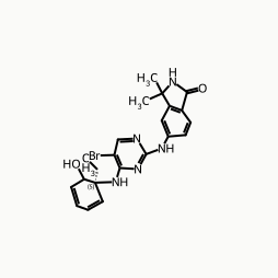 CC[C@]1(Nc2nc(Nc3ccc4c(c3)C(C)(C)NC4=O)ncc2Br)C=CC=CC1O